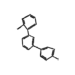 Cc1ccccc1-c1cccc(-c2ccc(I)cc2)c1